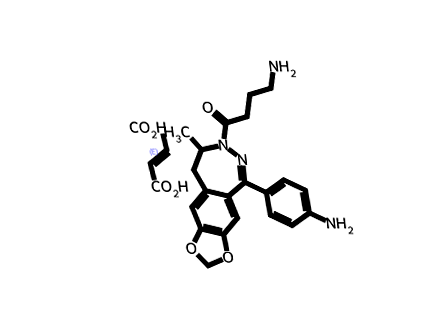 CC1Cc2cc3c(cc2C(c2ccc(N)cc2)=NN1C(=O)CCCN)OCO3.O=C(O)/C=C/C(=O)O